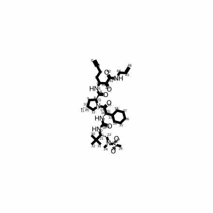 C#CCCC(NC(=O)[C@@H]1C[C@@H](C)CN1C(=O)[C@@H](NC(=O)N[C@H](CN(C)S(C)(=O)=O)C(C)(C)C)C1CCCCC1)C(=O)C(=O)NCC=C